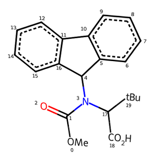 COC(=O)N(C1c2ccccc2-c2ccccc21)C(C(=O)O)C(C)(C)C